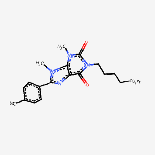 CCOC(=O)CCCCn1c(=O)c2nc(-c3ccc(C#N)cc3)n(C)c2n(C)c1=O